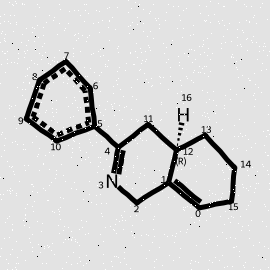 C1=C2CN=C(c3ccccc3)C[C@H]2CCC1